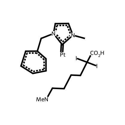 CNCCCCC(I)(I)C(=O)O.Cn1ccn(Cc2ccccc2)[c]1=[Pt]